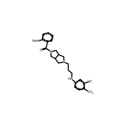 CNc1ccccc1C(=O)N1CC2CN(CCCNc3ccc(C)c(Cl)c3)CC2C1